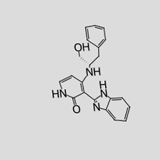 O=c1[nH]ccc(N[C@H](CO)Cc2ccccc2)c1-c1nc2ccccc2[nH]1